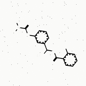 CCN(C)C(=O)Oc1cccc(C(C)OC(=O)c2ccccc2C(=O)O)c1